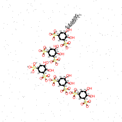 O=S(=O)([O-])c1cc(O)c(O)c(S(=O)(=O)[O-])c1.O=S(=O)([O-])c1cc(O)c(O)c(S(=O)(=O)[O-])c1.O=S(=O)([O-])c1cc(O)c(O)c(S(=O)(=O)[O-])c1.O=S(=O)([O-])c1cc(O)c(O)c(S(=O)(=O)[O-])c1.O=S(=O)([O-])c1cc(O)c(O)c(S(=O)(=O)[O-])c1.[Fe+3].[Fe+3].[Na+].[Na+].[Na+].[Na+]